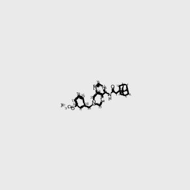 O=C(CC12CC3CC(CC(C3)C1)C2)Nc1ncnc2c1CCN(Cc1cccc(OC(F)(F)F)c1)C2